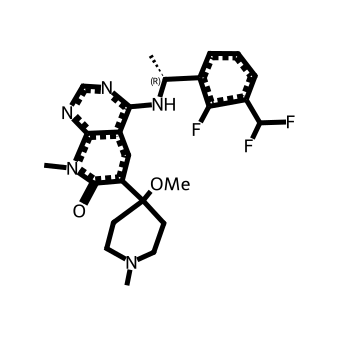 COC1(c2cc3c(N[C@H](C)c4cccc(C(F)F)c4F)ncnc3n(C)c2=O)CCN(C)CC1